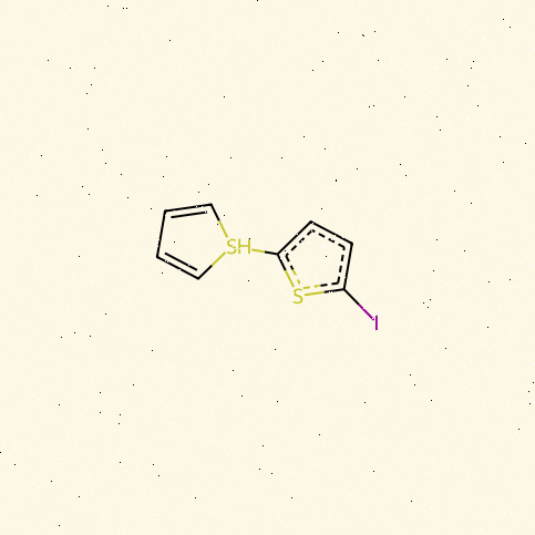 Ic1ccc([SH]2C=CC=C2)s1